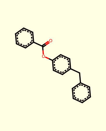 O=C(Oc1ccc(Cc2ccccc2)cc1)c1ccccc1